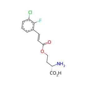 N[C@@H](CCOC(=O)/C=C/c1cccc(Cl)c1F)C(=O)O